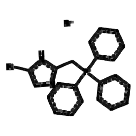 CCc1cnc(C[P+](c2ccccc2)(c2ccccc2)c2ccccc2)[nH]1.[Br-]